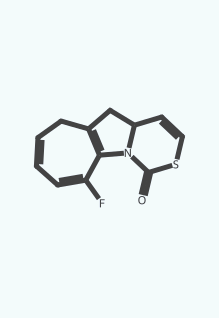 O=C1SC=CC2CC3=C(C(F)=CC=CC3)N12